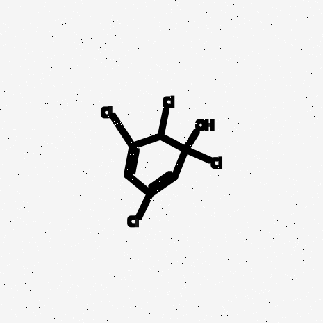 OC1(Cl)C=C(Cl)C=C(Cl)C1Cl